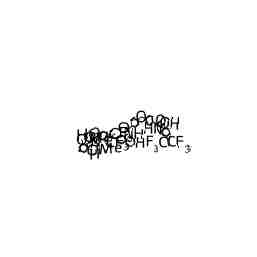 COc1cccc(OC)c1C(=O)Nc1cc(C(c2ccc(O)c(NC(=O)c3ccc(Oc4ccc(C(=O)Nc5cc(C(C)(C(F)(F)F)C(F)(F)F)ccc5O)cc4)cc3)c2)(C(F)(F)F)C(F)(F)F)ccc1O